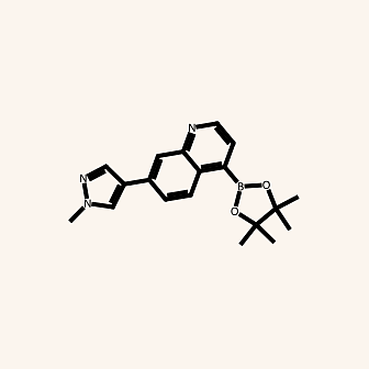 Cn1cc(-c2ccc3c(B4OC(C)(C)C(C)(C)O4)ccnc3c2)cn1